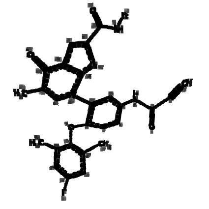 C#CC(=O)Nc1ccc(Oc2c(C)cc(F)cc2C)c(-n2cc(C)c(=O)c3cc(C(=O)NCC)sc32)c1